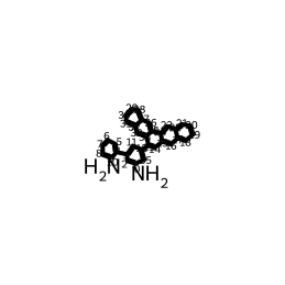 Nc1cc(-c2ccccc2N)cc(-c2cc3cc4ccccc4cc3c3cc4ccccc4cc23)c1